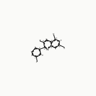 Cc1cccc(-c2nc3cc(C)cc(C)c3cc2C)c1